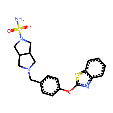 NS(=O)(=O)N1CC2CN(Cc3ccc(Oc4nc5ccccc5s4)cc3)CC2C1